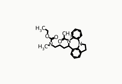 CCOC(=O)N(C)CCCC1c2cccc3c2N(CC3)c2ccccc2N1C(C)=O